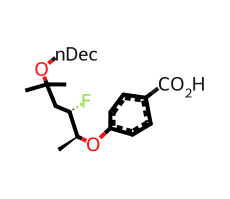 CCCCCCCCCCOC(C)(C)C[C@H](F)[C@H](C)Oc1ccc(C(=O)O)cc1